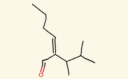 CCCC=C(C=O)C(C)C(C)C